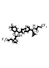 O=C(CCC(F)(F)F)NC(c1cnn2cc([C@@H](NC(=O)c3ncnn3CCC(F)(F)F)C3CCC(F)(F)CC3)nc2c1)C1CC1